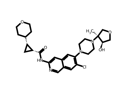 C[C@]1(N2CCN(c3cc4cc(NC(=O)[C@@H]5C[C@@H]5C5CCOCC5)ncc4cc3Cl)CC2)COC[C@H]1O